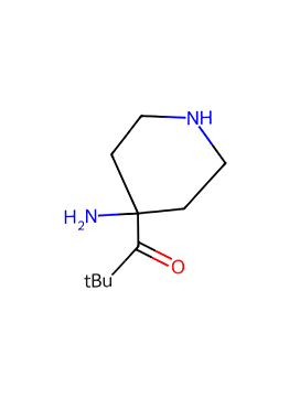 CC(C)(C)C(=O)C1(N)CCNCC1